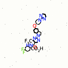 O=C(NC1(C(=O)O)CCC(F)(F)CC1)c1cnc(N2CCc3cc(OC4CCN(c5ncccn5)CC4)ccc32)nc1C(F)(F)F